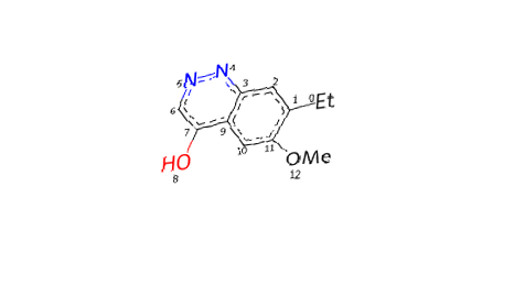 CCc1cc2nncc(O)c2cc1OC